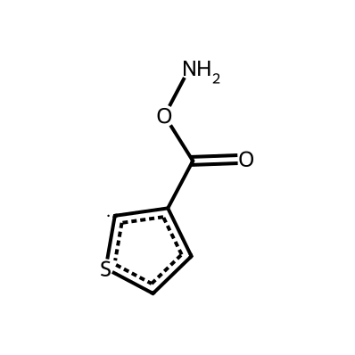 NOC(=O)c1[c]scc1